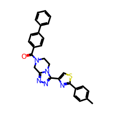 Cc1ccc(-c2nc(-c3nnc4n3CCN(C(=O)c3ccc(-c5ccccc5)cc3)C4)cs2)cc1